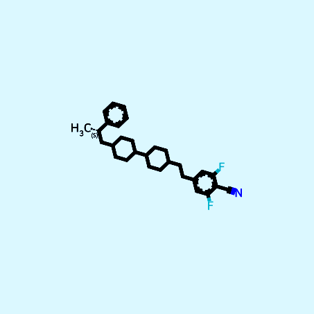 C[C@@H](CC1CCC(C2CCC(CCc3cc(F)c(C#N)c(F)c3)CC2)CC1)c1ccccc1